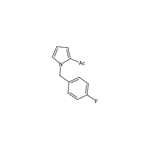 CC(=O)c1cccn1Cc1ccc(F)cc1